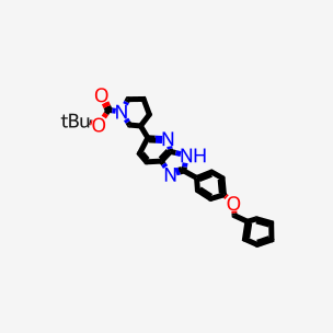 CC(C)(C)OC(=O)N1CCCC(c2ccc3nc(-c4ccc(OCc5ccccc5)cc4)[nH]c3n2)C1